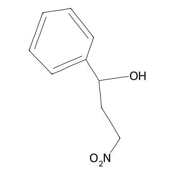 O=[N+]([O-])CCC(O)c1ccccc1